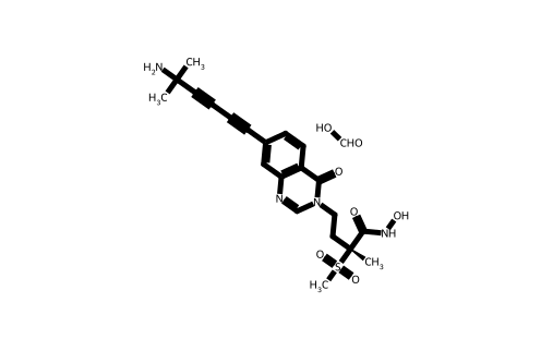 CC(C)(N)C#CC#Cc1ccc2c(=O)n(CC[C@](C)(C(=O)NO)S(C)(=O)=O)cnc2c1.O=CO